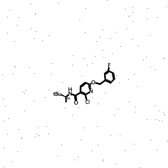 C[C@H](NC(=O)c1ccc(OCc2cccc(F)c2)nc1Cl)C(C)(C)C